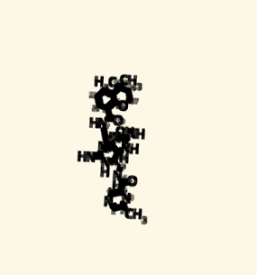 Cc1cncc(C(=O)NC[C@@H]2NC(=N)N3CC(NC(=O)c4cccc5c4OCCC5(C)C)[C@@H](O)C34NC(=N)N[C@@H]24)n1